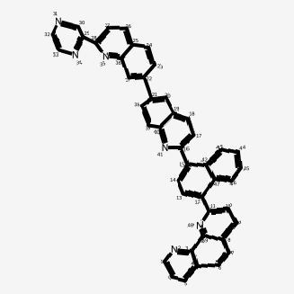 c1cnc2c(c1)ccc1ccc(-c3ccc(-c4ccc5cc(-c6ccc7ccc(-c8cnccn8)nc7c6)ccc5n4)c4ccccc34)nc12